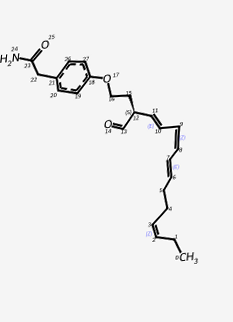 CC/C=C\CC/C=C/C=C\C=C\[C@@H](C=O)CCOc1ccc(CC(N)=O)cc1